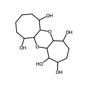 OC1CCC(O)C2OC3C(O)CCCCC(O)C3OC2C1O